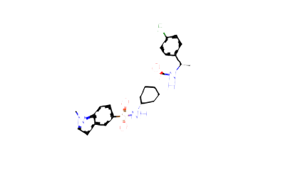 C[C@@H](NC(=O)[C@H]1CC[C@H](NS(=O)(=O)c2ccc3c(ccn3C)c2)CC1)c1ccc(F)cc1